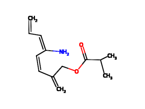 C=C/C=C(N)\C=C/C(=C)COC(=O)C(C)C